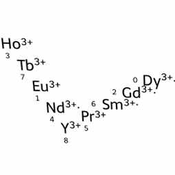 [Dy+3].[Eu+3].[Gd+3].[Ho+3].[Nd+3].[Pr+3].[Sm+3].[Tb+3].[Y+3]